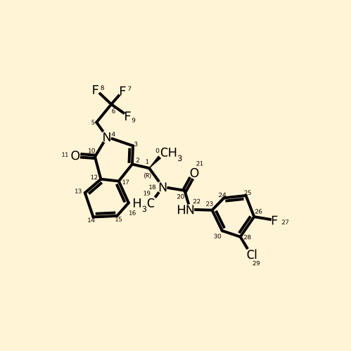 C[C@H](c1cn(CC(F)(F)F)c(=O)c2ccccc12)N(C)C(=O)Nc1ccc(F)c(Cl)c1